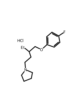 CCC(CCN1CCCC1)COc1ccc(F)cc1.Cl